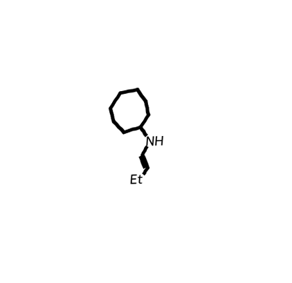 CC/C=C/NC1CCCCCCC1